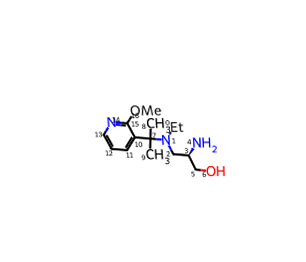 CCN(C[C@@H](N)CO)C(C)(C)c1cccnc1OC